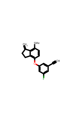 C#Cc1cc(F)cc(Oc2ccc(SC)c3c2CCC3=C)c1